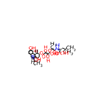 CC(C)C[C@H](NC(=O)[C@H](C)OC(O)[C@H](O)[C@@H](O)C(=O)OC1=CC[C@@]2(O)[C@H]3Cc4ccc(O)c5c4C2(CCN3C)[C@H]1O5)C(=O)O